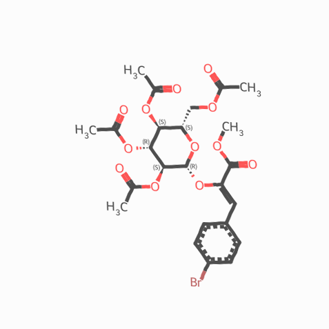 COC(=O)C(=Cc1ccc(Br)cc1)O[C@H]1O[C@@H](COC(C)=O)[C@H](OC(C)=O)[C@@H](OC(C)=O)[C@@H]1OC(C)=O